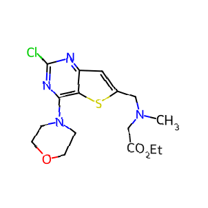 CCOC(=O)CN(C)Cc1cc2nc(Cl)nc(N3CCOCC3)c2s1